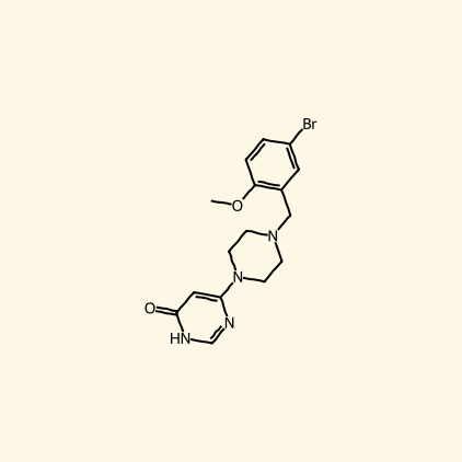 COc1ccc(Br)cc1CN1CCN(c2cc(=O)[nH]cn2)CC1